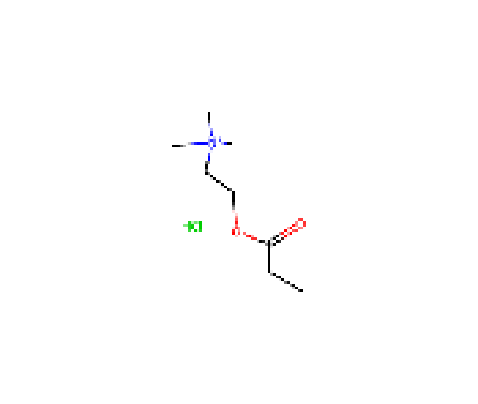 CCC(=O)OCC[N+](C)(C)C.Cl